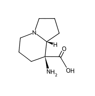 N[C@@]1(C(=O)O)CCCN2CCC[C@@H]21